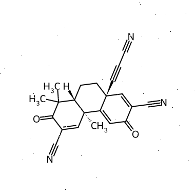 CC1(C)C(=O)C(C#N)=C[C@]2(C)C3=CC(=O)C(C#N)=C[C@@]3(C#CC#N)CC[C@@H]12